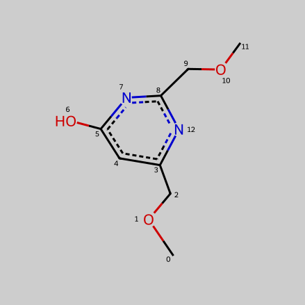 COCc1cc(O)nc(COC)n1